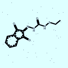 CCSNC(=O)NN=c1c(=O)c2ccccc2c1=O